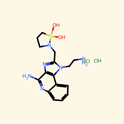 Cl.Cl.NCCn1c(CN2CCCS2(O)O)nc2c(N)nc3ccccc3c21